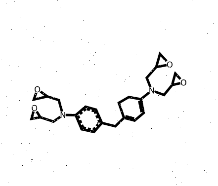 C1=C(Cc2ccc(N(CC3CO3)CC3CO3)cc2)CCC(N(CC2CO2)CC2CO2)=C1